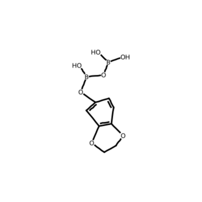 OB(O)OB(O)Oc1ccc2c(c1)OCCO2